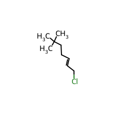 CC(C)(C)CCC=CCCl